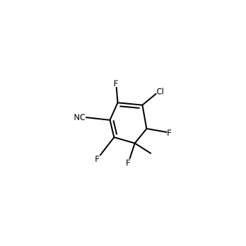 CC1(F)C(F)=C(C#N)C(F)=C(Cl)C1F